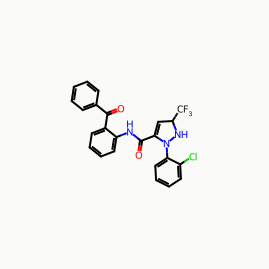 O=C(Nc1ccccc1C(=O)c1ccccc1)C1=CC(C(F)(F)F)NN1c1ccccc1Cl